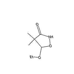 CCOC1ONC(=O)C1(C)C